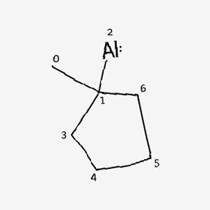 C[C]1([Al])CCCC1